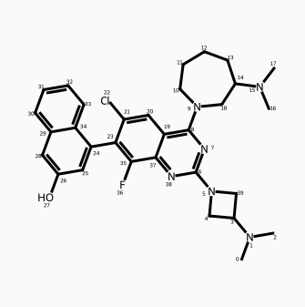 CN(C)C1CN(c2nc(N3CCCCC(N(C)C)C3)c3cc(Cl)c(-c4cc(O)cc5ccccc45)c(F)c3n2)C1